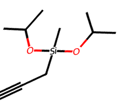 C#CC[Si](C)(OC(C)C)OC(C)C